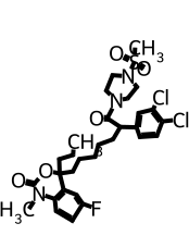 CCCC1(CCCCCC(C(=O)N2CCN(S(C)(=O)=O)CC2)c2ccc(Cl)c(Cl)c2)OC(=O)N(C)c2ccc(F)cc21